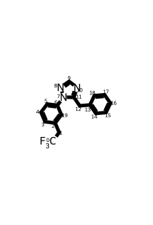 FC(F)(F)Cc1cccc(-n2ncnc2Cc2ccccc2)c1